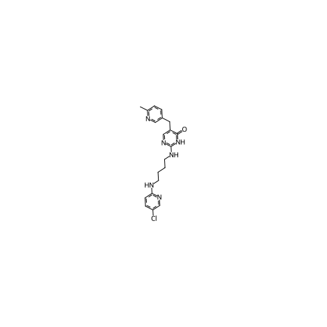 Cc1ccc(Cc2cnc(NCCCCNc3ccc(Cl)cn3)[nH]c2=O)cn1